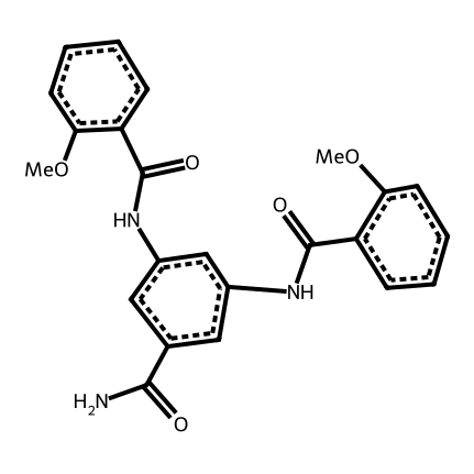 COc1ccccc1C(=O)Nc1cc(NC(=O)c2ccccc2OC)cc(C(N)=O)c1